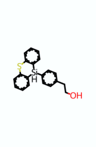 OCCc1ccc([SiH]2c3ccccc3Sc3ccccc32)cc1